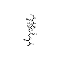 C=C(C)C(=O)OCC(O)CC(F)(F)C(F)(F)CC(O)CO